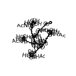 CC(=O)N[C@H]1[C@H](OCCCCCCNC(=O)CCC(NC(=O)CCC(NC(=O)CCC(NC(=O)CCCC(=O)NCCCCCCC(=O)OCc2ccccc2)C(=O)NCCCCCCO[C@@H]2O[C@H](CO)[C@H](O)[C@H](O)[C@H]2NC(C)=O)C(=O)NCCCCCCO[C@@H]2O[C@H](CO)[C@H](O)[C@H](O)[C@H]2NC(C)=O)C(=O)NCCCCCCO[C@@H]2O[C@H](CO)[C@H](O)[C@H](O)[C@H]2NC(C)=O)O[C@H](CO)[C@H](O)[C@@H]1O